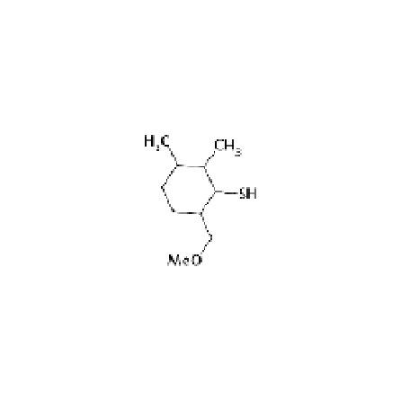 COCC1CCC(C)C(C)C1S